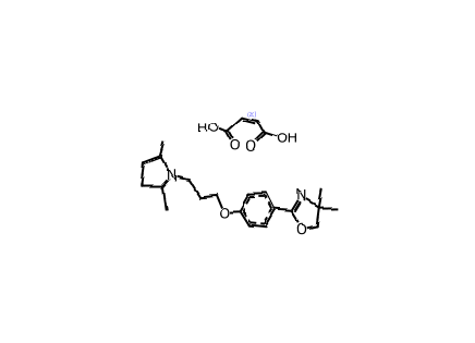 CC1CCC(C)N1CCCOc1ccc(C2=NC(C)(C)CO2)cc1.O=C(O)/C=C\C(=O)O